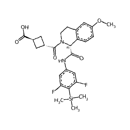 COc1ccc2c(c1)CCN(C(=O)[C@H]1C[C@H](C(=O)O)C1)[C@H]2C(=O)Nc1cc(F)c([Si](C)(C)C)c(F)c1